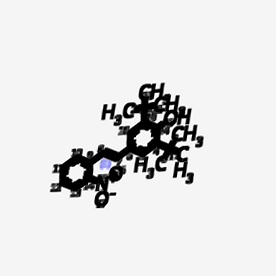 CC(C)(C)c1cc(/C=C/c2ccccc2[N+](=O)[O-])cc(C(C)(C)C)c1O